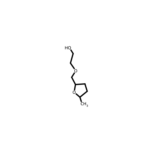 CC1CCC(COCCO)O1